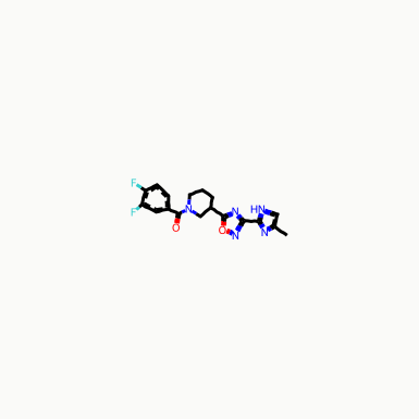 Cc1c[nH]c(-c2noc(C3CCCN(C(=O)c4ccc(F)c(F)c4)C3)n2)n1